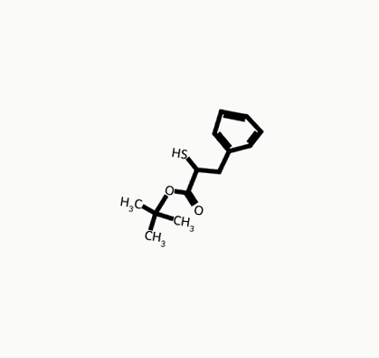 CC(C)(C)OC(=O)C(S)Cc1ccccc1